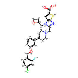 O=C(O)c1cc2c(nc(CN3CC=C(c4cccc(OCc5ccc(Cl)cc5F)c4)CC3)n2CC2CCO2)s1